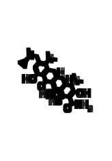 B=C1C(C(N)=O)=C(O)[C@@H](N(C)C)[C@@H]2C[C@@H]3Cc4c(c(O)cc(CN(C)C5CC5)c4N(C)C)C(=O)C3=C(O)[C@]12O